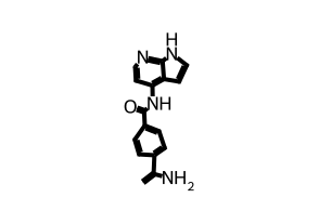 C=C(N)c1ccc(C(=O)Nc2ccnc3[nH]ccc23)cc1